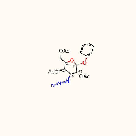 CC(=O)OC[C@H]1O[C@H](Oc2ccccc2)[C@H](OC(C)=O)[C@@H](N=[N+]=[N-])[C@H]1OC(C)=O